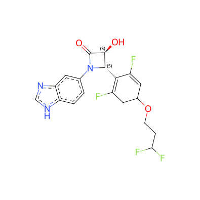 O=C1[C@@H](O)[C@H](C2=C(F)CC(OCCC(F)F)C=C2F)N1c1ccc2[nH]cnc2c1